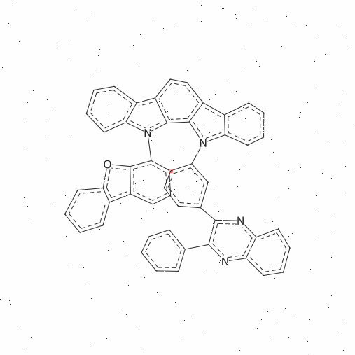 c1ccc(-c2nc3ccccc3nc2-c2cccc(-n3c4ccccc4c4ccc5c6ccccc6n(-c6cccc7c6oc6ccccc67)c5c43)c2)cc1